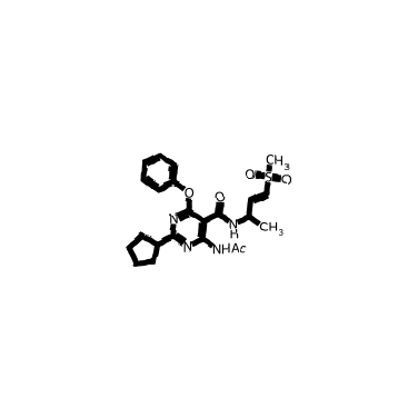 CC(=O)Nc1nc(C2CCCC2)nc(Oc2ccccc2)c1C(=O)NC(C)/C=C/S(C)(=O)=O